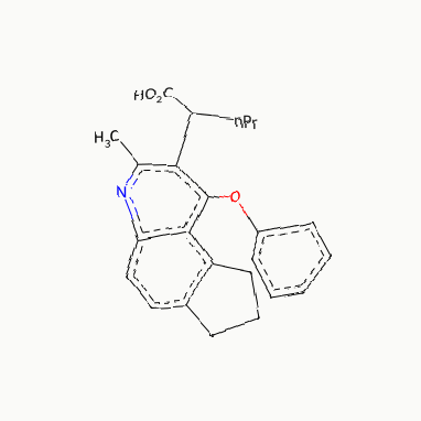 CCCC(C(=O)O)c1c(C)nc2ccc3c(c2c1Oc1ccccc1)CCC3